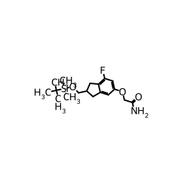 CC(C)(C)[Si](C)(C)OCC1Cc2cc(OCC(N)=O)cc(F)c2C1